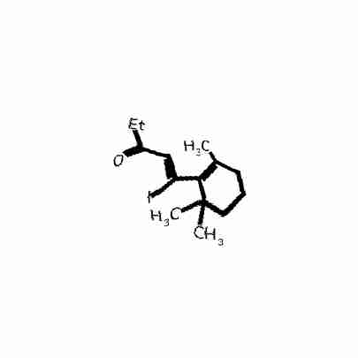 CCC(=O)C=C(I)C1=C(C)CCCC1(C)C